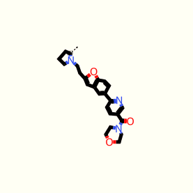 C[C@H]1CCCN1CCc1cc2cc(-c3ccc(C(=O)N4CCOCC4)cn3)ccc2o1